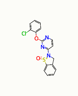 [O-][S+]1c2ccccc2CN1c1ccnc(Oc2ccccc2Cl)n1